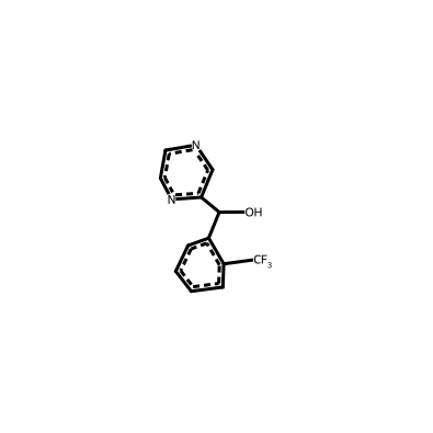 OC(c1cnccn1)c1ccccc1C(F)(F)F